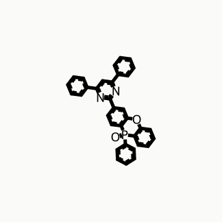 O=P1(c2ccccc2)c2ccccc2Oc2cc(-c3nc(-c4ccccc4)cc(-c4ccccc4)n3)ccc21